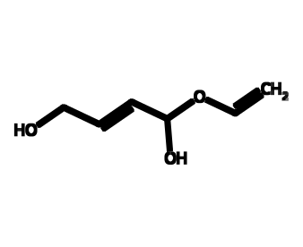 C=COC(O)C=CCO